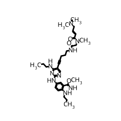 CCCNc1ccc(Nc2ncc(C#CCCCNC(=O)CN(C)C(=O)/C=C/CN(C)C)c(NCCC)n2)cc1C(=N)OC